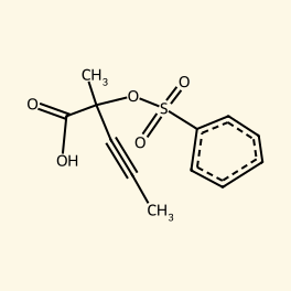 CC#CC(C)(OS(=O)(=O)c1ccccc1)C(=O)O